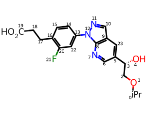 CC(C)OC[C@@H](O)c1cnc2c(cnn2-c2ccc(CCC(=O)O)c(F)c2)c1